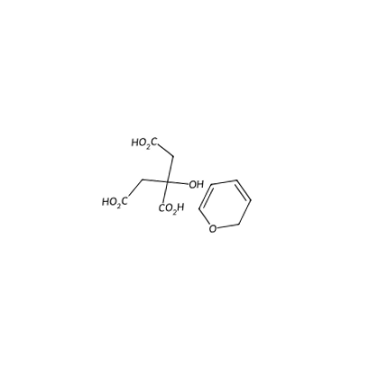 C1=CCOC=C1.O=C(O)CC(O)(CC(=O)O)C(=O)O